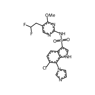 COc1nc(NS(=O)(=O)c2c[nH]c3c(-n4ccnc4)c(Cl)ccc23)ncc1CC(F)F